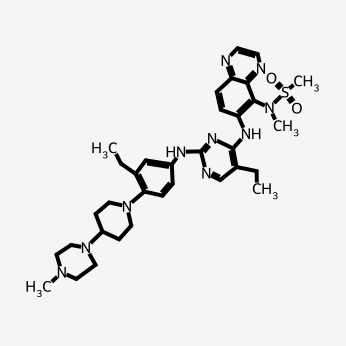 CCc1cc(Nc2ncc(CC)c(Nc3ccc4nccnc4c3N(C)S(C)(=O)=O)n2)ccc1N1CCC(N2CCN(C)CC2)CC1